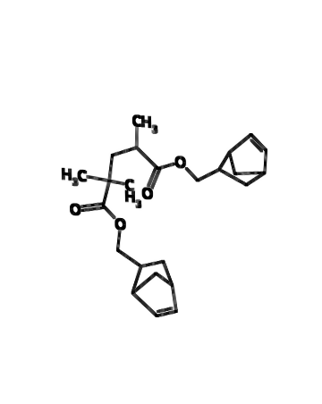 CC(CC(C)(C)C(=O)OCC1CC2C=CC1C2)C(=O)OCC1CC2C=CC1C2